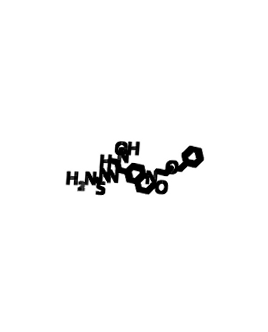 CC(=NO)C(=NNC(N)=S)c1ccc2c(c1)CCC(=O)N2CCOCc1ccccc1